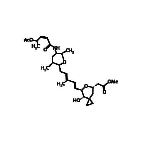 COC(=O)C[C@@H]1CC2(CC2)[C@H](O)[C@@H](/C=C/C(C)=C/C[C@@H]2O[C@H](C)[C@H](NC(=O)/C=C\C(C)OC(C)=O)C[C@@H]2C)O1